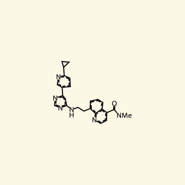 CNC(=O)c1ccnc2c(CCNc3cc(-c4ccc(C5CC5)nc4)ncn3)cccc12